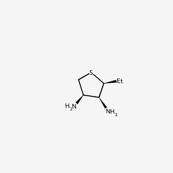 CC[C@@H]1SC[C@H](N)[C@@H]1N